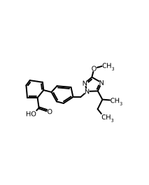 CCC(C)c1nc(OC)nn1Cc1ccc(-c2ccccc2C(=O)O)cc1